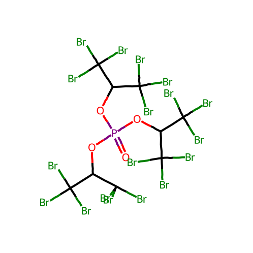 O=P(OC(C(Br)(Br)Br)C(Br)(Br)Br)(OC(C(Br)(Br)Br)C(Br)(Br)Br)OC(C(Br)(Br)Br)C(Br)(Br)Br